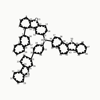 c1ccc2cc(-c3cccc4oc5ccc(N(c6ccc(-c7ccc8c(c7)sc7ccccc78)cc6)c6ccc7c(ccc8c9ccccc9sc78)c6)cc5c34)ccc2c1